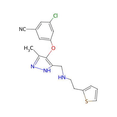 Cc1n[nH]c(CNCCc2cccs2)c1Oc1cc(Cl)cc(C#N)c1